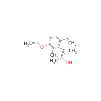 C=COc1ccc(C=C)c(/C(C)=C(\C)O)c1C